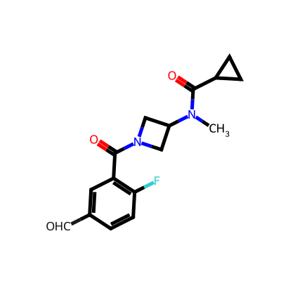 CN(C(=O)C1CC1)C1CN(C(=O)c2cc(C=O)ccc2F)C1